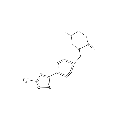 CC1CCC(=O)N(Cc2ccc(-c3noc(C(F)(F)F)n3)cc2)C1